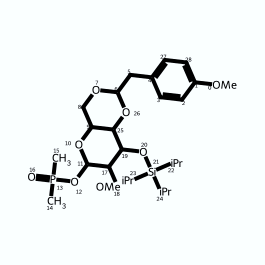 COc1ccc(CC2OCC3OC(OP(C)(C)=O)C(OC)C(O[Si](C(C)C)(C(C)C)C(C)C)C3O2)cc1